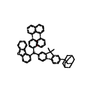 CC1(C)c2cc(N(c3ccc(-c4cccc5cccc(-c6ccccc6)c45)cc3)c3cccc4oc5ccccc5c34)ccc2-c2ccc(C34CC5CC(CC(C5)C3)C4)cc21